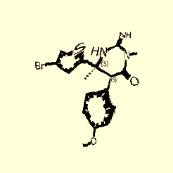 COc1ccc([C@@H]2C(=O)N(C)C(=N)N[C@]2(C)c2cc(Br)cs2)cc1